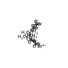 CC(C)N.CC(C)N.O=[N+]([O-])[O-].O=[N+]([O-])[O-].O=[N+]([O-])[O-].O=[N+]([O-])[O-].[Pt+4]